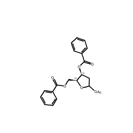 CC(=O)OC1C[C@H](OC(=O)c2ccccc2)[C@H](COC(=O)c2ccccc2)O1